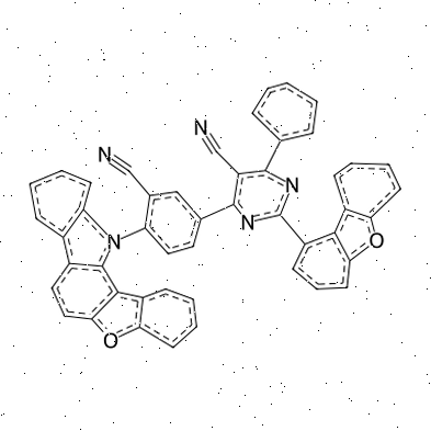 N#Cc1cc(-c2nc(-c3cccc4oc5ccccc5c34)nc(-c3ccccc3)c2C#N)ccc1-n1c2ccccc2c2ccc3oc4ccccc4c3c21